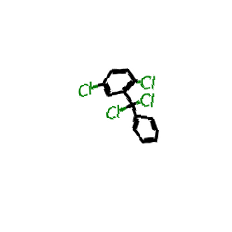 Clc1ccc(Cl)c(C(Cl)(Cl)c2ccccc2)c1